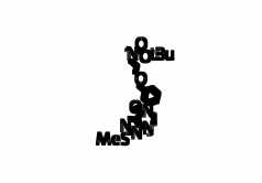 CSc1ncc2c(n1)N(C)CCN(c1cccc(COCCCN(C)C(=O)OC(C)(C)C)c1)C2=O